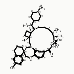 C[C@@H]1[C@@H](C)CCC[C@H]([C@H](O)C2CCN(C)CC2)[C@@H]2CC[C@H]2CN2C[C@@]3(CCCc4cc(Cl)ccc43)COc3ccc(cc32)C(=O)NS1(=O)=O